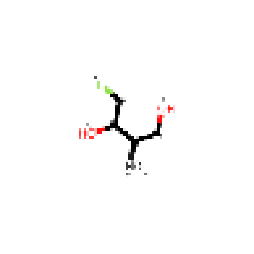 O=[N+]([O-])C(CO)C(O)CF